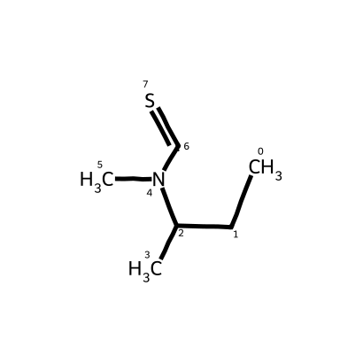 CCC(C)N(C)[C]=S